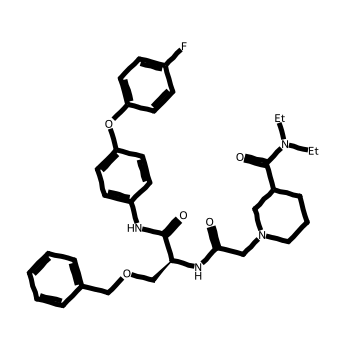 CCN(CC)C(=O)C1CCCN(CC(=O)N[C@@H](COCc2ccccc2)C(=O)Nc2ccc(Oc3ccc(F)cc3)cc2)C1